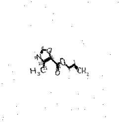 C=CCOC(=O)c1ocnc1C